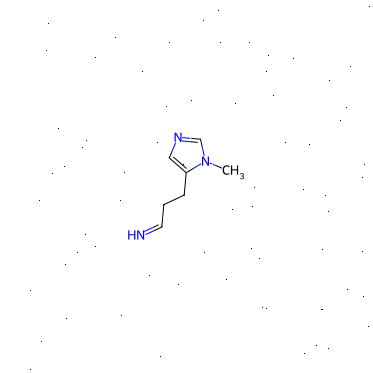 Cn1cncc1CCC=N